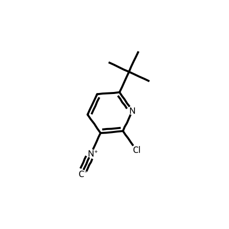 [C-]#[N+]c1ccc(C(C)(C)C)nc1Cl